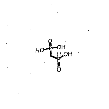 O=[PH](O)CP(=O)(O)O